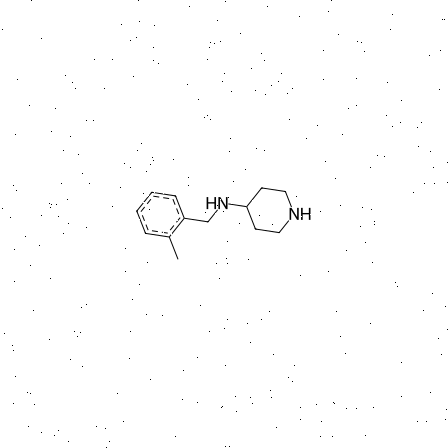 Cc1ccccc1CNC1CCNCC1